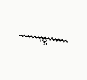 CCCCCCCCCCCCCCC(CCCCCCCCCCCCCC)NC(=O)O